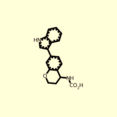 O=C(O)NC1CCOc2cc(-c3c[nH]c4ccccc34)ccc21